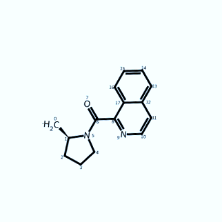 [CH2][C@@H]1CCCN1C(=O)c1nccc2ccccc12